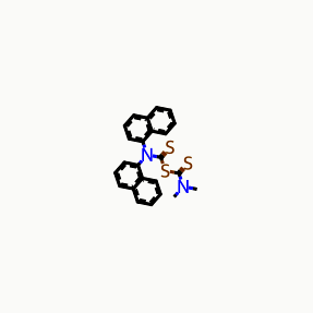 CN(C)C(=S)SC(=S)N(c1cccc2ccccc12)c1cccc2ccccc12